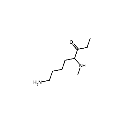 CCC(=O)C(CCCCN)NC